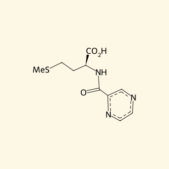 CSCC[C@H](NC(=O)c1cnccn1)C(=O)O